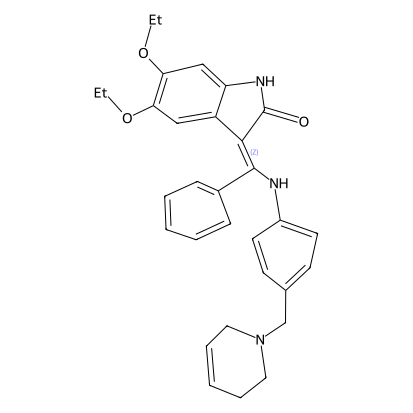 CCOc1cc2c(cc1OCC)/C(=C(/Nc1ccc(CN3CC=CCC3)cc1)c1ccccc1)C(=O)N2